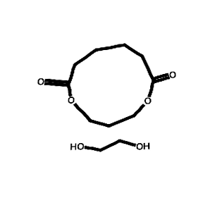 O=C1CCCCC(=O)OCCCO1.OCCO